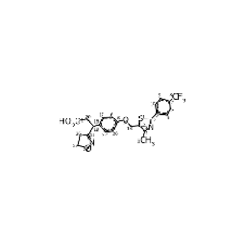 CC1N=C(c2ccc(C(F)(F)F)cc2)SC1COc1ccc(C(CC(=O)O)C2=NOCC2)cc1